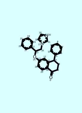 O=C1CCC(c2ccccc2)c2cc(OC(Cn3ccnc3)c3ccccc3)ccc21